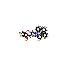 O=C1C(=Cc2ccc(N3c4ccccc4[Si](c4ccccc4)(c4ccccc4)c4ccccc43)[se]2)C(=O)c2cscc21